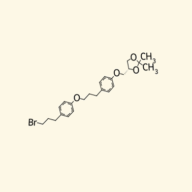 CC1(C)OC[C@@H](COc2ccc(CCCOc3ccc(CCCBr)cc3)cc2)O1